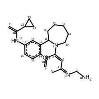 C=N/C(=C\C(C)=N/CN)N1CCCCCC1c1cc(NC(=C)C2CC2)ccc1Cl